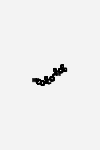 CCN(C(=O)c1cccc(CNC(=O)c2ccc(OC)c(OC)c2)c1)c1ccc2c(c1)CNCC2